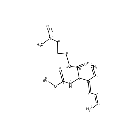 C=C/C(=C\C=C/C)C(NC(=O)OC(C)(C)C)C(=O)OCCCN(C)C